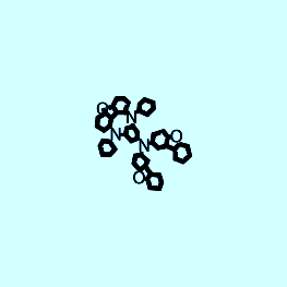 c1ccc(N2c3cc(N(c4ccc5oc6ccccc6c5c4)c4ccc5oc6ccccc6c5c4)cc(c3)N(c3ccccc3)c3cccc4oc5cccc2c5c34)cc1